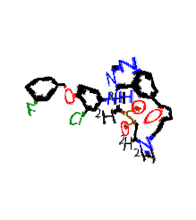 [2H]C(CS(=O)(=O)C([2H])[2H])N([2H])Cc1ccc(-c2ccc3ncnc(Nc4ccc(OCc5cccc(F)c5)c(Cl)c4)c3c2)o1